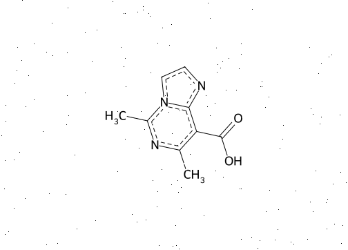 Cc1nc(C)n2ccnc2c1C(=O)O